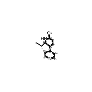 CCc1[nH]c(=O)ccc1-c1ccncc1